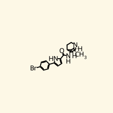 C[C@H]1[C@H](NC(=O)c2ccc(-c3ccc(Br)cc3)[nH]2)C2CCN1CC2